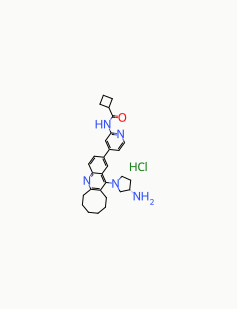 Cl.N[C@H]1CCN(c2c3c(nc4ccc(-c5ccnc(NC(=O)C6CCC6)c5)cc24)CCCCCC3)C1